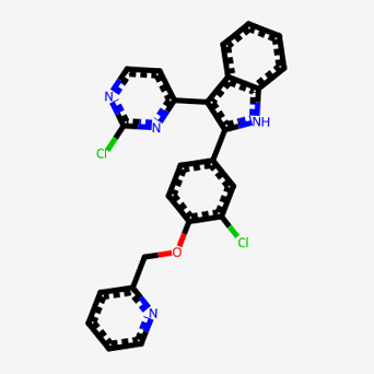 Clc1nccc(-c2c(-c3ccc(OCc4ccccn4)c(Cl)c3)[nH]c3ccccc23)n1